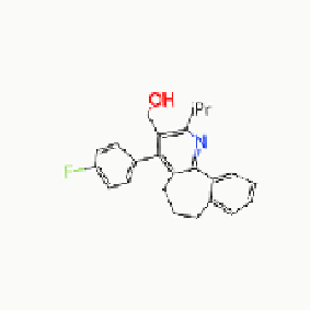 CC(C)c1nc2c(c(-c3ccc(F)cc3)c1CO)CCCc1ccccc1-2